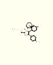 COC(=O)C1=NC(c2ccc(Cl)cc2)=C(c2ccc(Cl)cc2Cl)[N+]1(C)C1CCCCC1